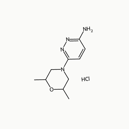 CC1CN(c2ccc(N)nn2)CC(C)O1.Cl